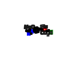 COc1cc(/C(=C(/OCCCl)C(=O)O)C(C)(C)C)ccc1-n1cnc(C)c1